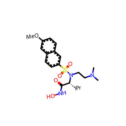 COc1ccc2cc(S(=O)(=O)N(CCN(C)C)[C@@H](C(=O)NO)C(C)C)ccc2c1